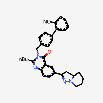 CCCCc1nc2ccc(C3=NN4CCCCC4C3)cc2c(=O)n1Cc1ccc(-c2ccccc2C#N)cc1